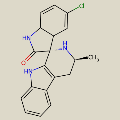 C[C@H]1Cc2c([nH]c3ccccc23)[C@@]2(N1)C(=O)NC1C=CC(Cl)=CC12